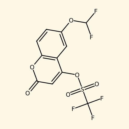 O=c1cc(OS(=O)(=O)C(F)(F)F)c2cc(OC(F)F)ccc2o1